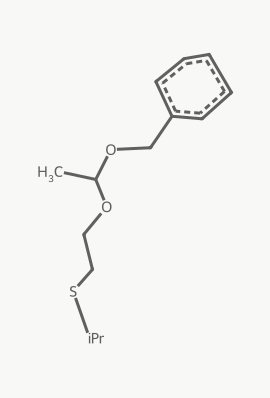 CC(OCCSC(C)C)OCc1ccccc1